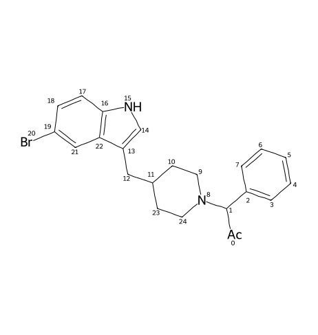 CC(=O)C(c1ccccc1)N1CCC(Cc2c[nH]c3ccc(Br)cc23)CC1